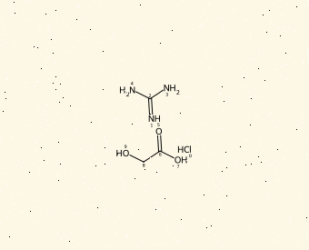 Cl.N=C(N)N.O=C(O)CO